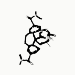 CCc1nnc(C2(C[C@@H](C)N)c3ccc(C(=O)N(C)C)cc3CCc3cc(C(=O)N(C)C)ccc32)o1